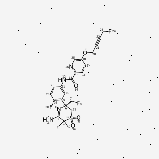 CC1(C)C(N)=N[C@](CF)(c2cc(NC(=O)c3ccc(OCC#CCF)cn3)ccc2F)CS1(=O)=O